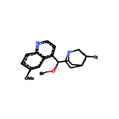 CCC1CN2CCC1CC2[C@@H](OC(C)(C)C)c1ccnc2ccc(OC)cc12